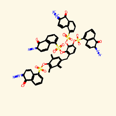 Cc1cc(Cc2ccc(OS(=O)(=O)c3cccc4c3C=CC(=[N+]=[N-])C4=O)c(OS(=O)(=O)c3cccc4c3C=CC(=[N+]=[N-])C4=O)c2OS(=O)(=O)c2cccc3c2C=CC(=[N+]=[N-])C3=O)c(C)c(C)c1OS(=O)(=O)c1cccc2c1C=CC(=[N+]=[N-])C2=O